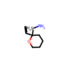 C=CC1([SiH2]N)CCCCO1